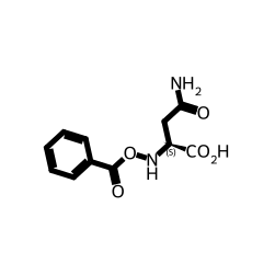 NC(=O)C[C@H](NOC(=O)c1ccccc1)C(=O)O